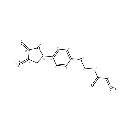 C=CC(=O)OCOc1ccc(C2CC(=C)C(=O)O2)cc1